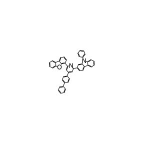 c1ccc(-c2ccc(-c3cc(-c4ccc5c6ccccc6n(-c6ccccc6)c5c4)nc(-c4cccc5c4oc4ccccc45)c3)cc2)cc1